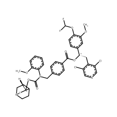 COc1cc([C@H](Cc2c(Cl)cncc2Cl)OC(=O)c2ccc(CN(C(=O)O[C@H]3CN4CCC3CC4)c3ccccc3OC)cc2)ccc1OC(F)F